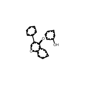 O=c1c(-c2ccccc2)coc2ccccc12.Oc1ccccc1